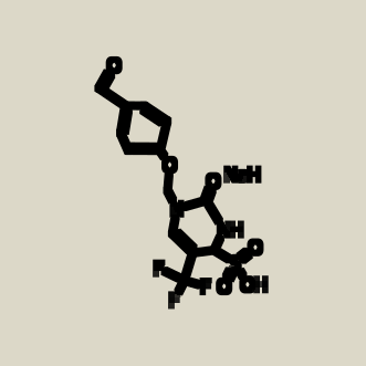 O=Cc1ccc(OCN2C=C(C(F)(F)F)C(S(=O)(=O)O)NC2=O)cc1.[NaH]